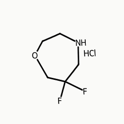 Cl.FC1(F)CNCCOC1